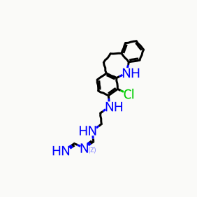 N=C/N=C\NCCNc1ccc2c(c1Cl)Nc1ccccc1CC2